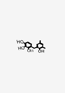 Cc1cc(C)c(O)c(Cc2ccc(O)c(O)c2O)c1